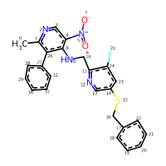 Cc1ncc([N+](=O)[O-])c(NCc2ncc(SCc3ccccc3)cc2F)c1-c1ccccc1